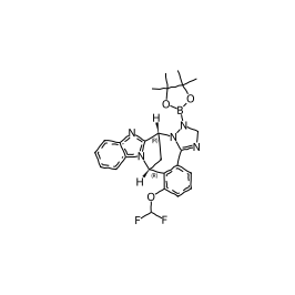 CC1(C)OB(N2CN=C3c4cccc(OC(F)F)c4[C@H]4C[C@H](c5nc6ccccc6n54)N32)OC1(C)C